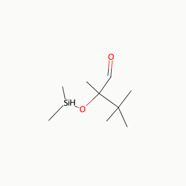 C[SiH](C)OC(C)(C=O)C(C)(C)C